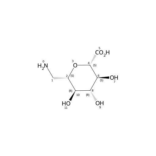 NC[C@@H]1O[C@H](C(=O)O)[C@@H](O)[C@H](O)[C@H]1O